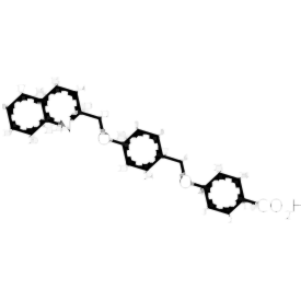 O=C(O)c1ccc(OCc2ccc(OCc3ccc4ccccc4n3)cc2)cc1